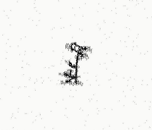 Cc1ccc(CCCC(=O)N[C@@H](CCCCNC(=O)CCC(C(=O)OC(C)(C)C)N2CCN(CC(=O)OC(C)(C)C)CCN3CCN(CC2)CC(=O)OC(C)(C)CC(C)(C)OC(=O)C3)C(=O)NCCOCCOCC(=O)N[C@H](CCC(=O)OC(C)(C)C)C(=O)N[C@H](CCC(=O)OC(C)(C)C)C(=O)N[C@H](CCC(=O)OC(C)(C)C)C(=O)NCCC(=O)O)cc1